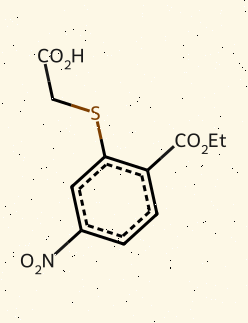 CCOC(=O)c1ccc([N+](=O)[O-])cc1SCC(=O)O